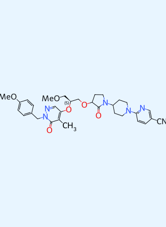 COC[C@@H](COC1CCN(C2CCN(c3ccc(C#N)cn3)CC2)C1=O)Oc1cnn(Cc2ccc(OC)cc2)c(=O)c1C